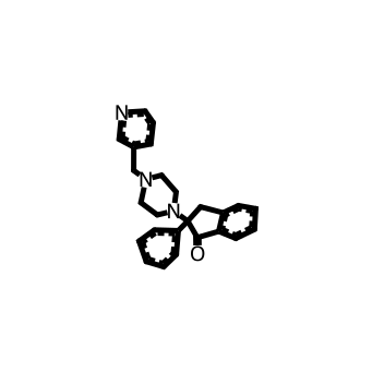 O=C1c2ccccc2CC1(c1ccccc1)N1CCN(Cc2cccnc2)CC1